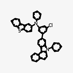 Clc1cc(-c2ccc3c4c5ccccc5ccc4n(-c4ccccc4)c3c2)cc(N(c2ccccc2)c2ccc3sc4ccccc4c3c2)c1